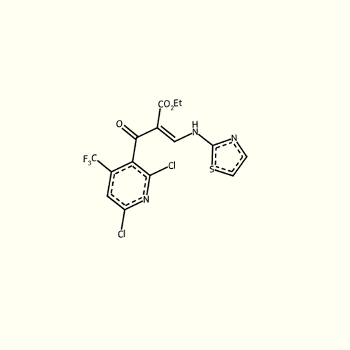 CCOC(=O)C(=CNc1nccs1)C(=O)c1c(C(F)(F)F)cc(Cl)nc1Cl